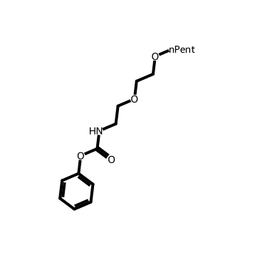 CCCCCOCCOCCNC(=O)Oc1ccccc1